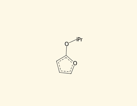 [CH2]C(C)Oc1ccco1